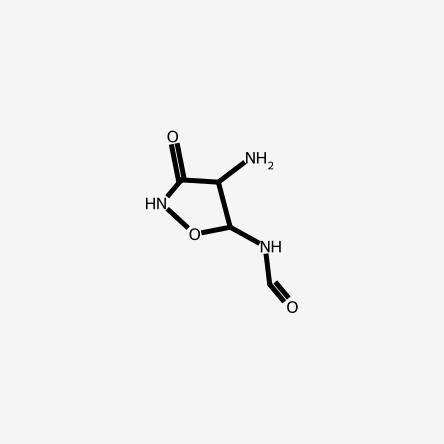 NC1C(=O)NOC1NC=O